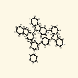 Cc1nc(-c2ccccc2)nc(-c2ccc(-n3c4ccccc4c4cccc(-c5ccc6c(c5)c5ccccc5n6-c5cccc6c5oc5ccccc56)c43)cc2)n1